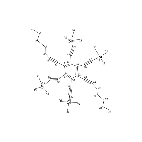 CCCCCC#Cc1c(C#C[Si](C)(C)C)c(C#C[Si](C)(C)C)c(C#CCCCCC)c(C#C[Si](C)(C)C)c1C#C[Si](C)(C)C